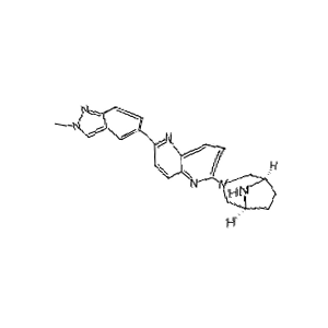 Cn1cc2cc(-c3ccc4nc(N5C[C@H]6CC[C@@H](C5)N6)ccc4n3)ccc2n1